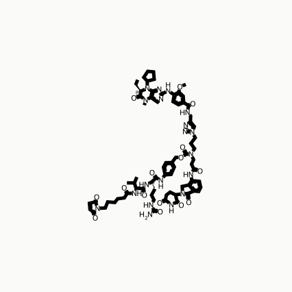 CC[C@@H]1C(=O)N(C)c2cnc(Nc3ccc(C(=O)NCc4cn(CCCN(CCC(=O)Nc5cccc6c5CN(C5CCC(=O)NC5=O)C6=O)C(=O)OCc5ccc(NC(=O)[C@H](CCCNC(N)=O)NC(=O)[C@@H](NC(=O)CCCCCN6C(=O)C=CC6=O)C(C)C)cc5)nn4)cc3OC)nc2N1C1CCCC1